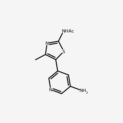 CC(=O)Nc1nc(C)c(-c2cncc(N)c2)s1